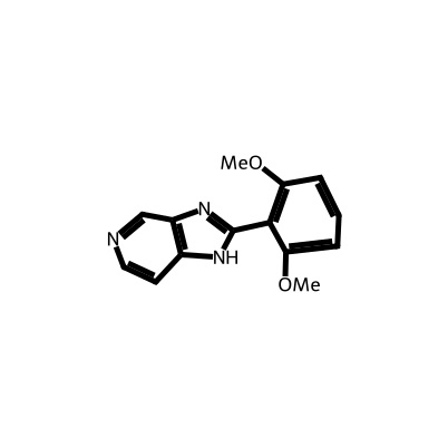 COc1cccc(OC)c1-c1nc2cnccc2[nH]1